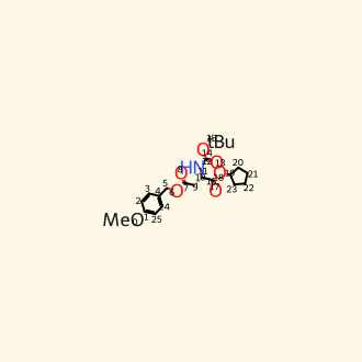 COc1ccc(COC(=O)C[C@H](NC(=O)OC(C)(C)C)C(=O)OC2CCCC2)cc1